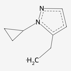 [CH2]Cc1ccnn1C1CC1